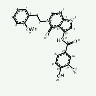 COc1ccccc1CCn1cnc2scc(NC(=O)c3ccc(O)c(Cl)c3)c2c1=O